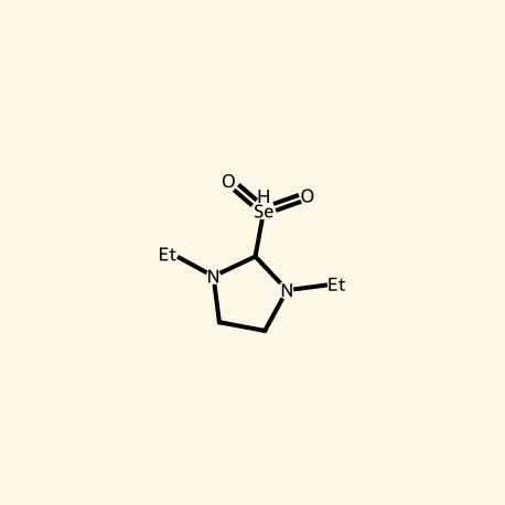 CCN1CCN(CC)C1[SeH](=O)=O